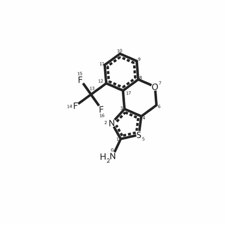 Nc1nc2c(s1)COc1cccc(C(F)(F)F)c1-2